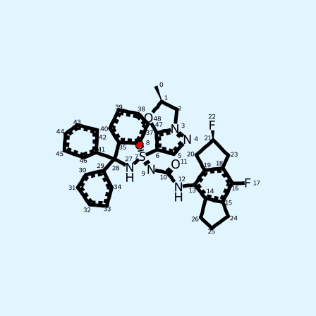 C[C@H]1Cn2ncc(S(=O)(=NC(=O)Nc3c4c(c(F)c5c3C[C@@H](F)C5)CCC4)NC(c3ccccc3)(c3ccccc3)c3ccccc3)c2O1